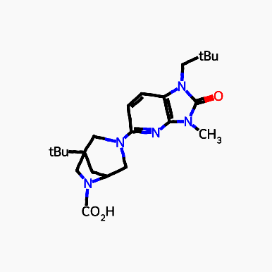 Cn1c(=O)n(CC(C)(C)C)c2ccc(N3CC4CC(C(C)(C)C)(C3)CN4C(=O)O)nc21